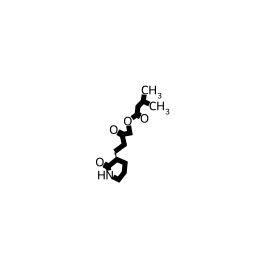 CC(C)CC(=O)OCC(=O)CC[C@@H]1CCCNC1=O